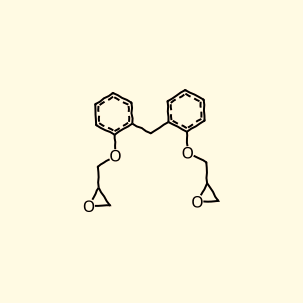 c1ccc(OCC2CO2)c(Cc2ccccc2OCC2CO2)c1